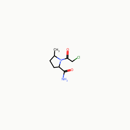 CC1CCC(C(N)=O)N1C(=O)CCl